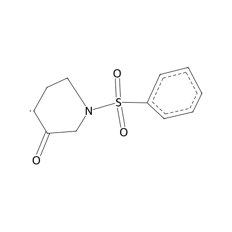 O=C1[CH]CCN(S(=O)(=O)c2ccccc2)C1